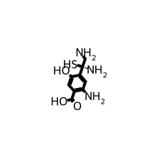 NC[C@](N)(S)c1cc(N)c(C(=O)O)cc1O